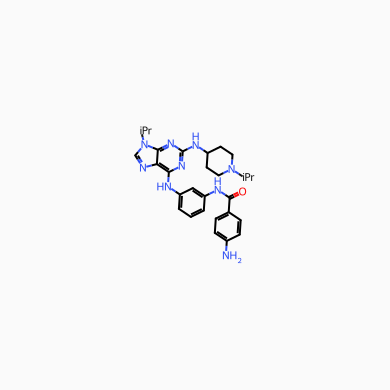 CC(C)N1CCC(Nc2nc(Nc3cccc(NC(=O)c4ccc(N)cc4)c3)c3ncn(C(C)C)c3n2)CC1